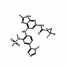 Cc1nc2c(Nc3ccc(-c4cncn4C)cc3N(C)S(C)(=O)=O)cc(NC(=O)[C@H]3CC3(F)F)nc2[nH]1